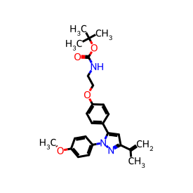 C=C(C)c1cc(-c2ccc(OCCNC(=O)OC(C)(C)C)cc2)n(-c2ccc(OC)cc2)n1